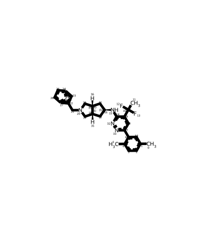 Cc1ccc(C)c(-c2cc(C(C)(F)F)c(N[C@H]3C[C@@H]4CN(Cc5cc6ccc5o6)C[C@@H]4C3)nn2)c1